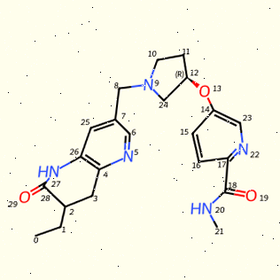 CCC1Cc2ncc(CN3CC[C@@H](Oc4ccc(C(=O)NC)nc4)C3)cc2NC1=O